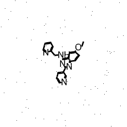 CCOc1ccc2nc(-c3cccnc3)nc(NCc3ccccn3)c2c1